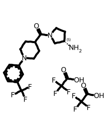 N[C@H]1CCN(C(=O)C2CCN(c3cccc(C(F)(F)F)c3)CC2)C1.O=C(O)C(F)(F)F.O=C(O)C(F)(F)F